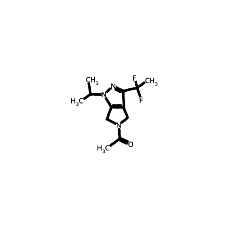 CC(=O)N1Cc2c(C(C)(F)F)nn(C(C)C)c2C1